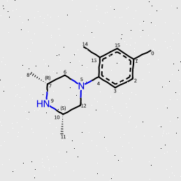 Cc1ccc(N2C[C@@H](C)N[C@@H](C)C2)c(C)c1